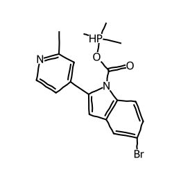 Cc1cc(-c2cc3cc(Br)ccc3n2C(=O)O[PH](C)(C)C)ccn1